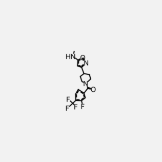 CNc1cc(C2CCN(C(=O)c3ccc(C(F)(F)F)c(F)c3)CC2)no1